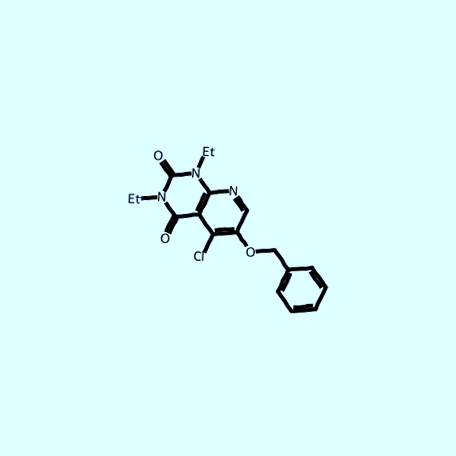 CCn1c(=O)c2c(Cl)c(OCc3ccccc3)cnc2n(CC)c1=O